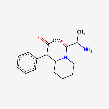 COC(=O)C(c1ccccc1)C1CCCCN1C(=O)C(C)N